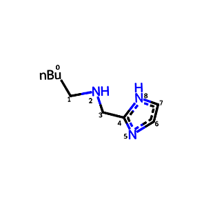 CCCCCNCc1ncc[nH]1